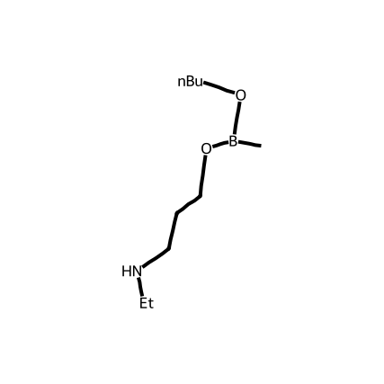 CCCCOB(C)OCCCNCC